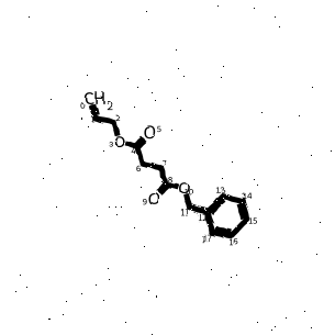 C=CCOC(=O)CCC(=O)OCc1ccccc1